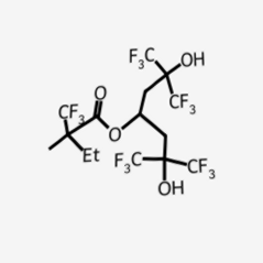 CCC(C)(C(=O)OC(CC(O)(C(F)(F)F)C(F)(F)F)CC(O)(C(F)(F)F)C(F)(F)F)C(F)(F)F